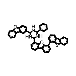 c1ccc(C2NC(c3ccc4oc5ccccc5c4c3)NC(c3cccc4c3oc3c(-c5cccc6c5sc5ccccc56)cccc34)N2)cc1